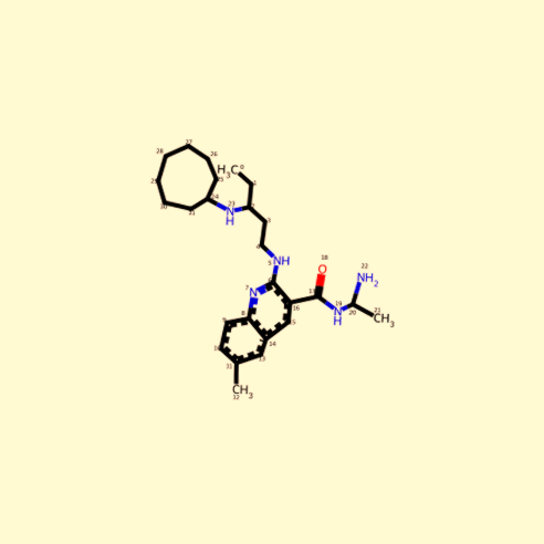 CCC(CCNc1nc2ccc(C)cc2cc1C(=O)NC(C)N)NC1CCCCCCC1